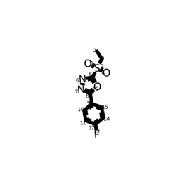 CCS(=O)(=O)c1nnc(-c2ccc(F)cc2)o1